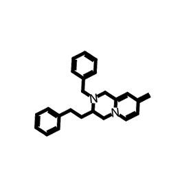 C=C1C=CN2CC(CCc3ccccc3)N(Cc3ccccc3)CC2=C1